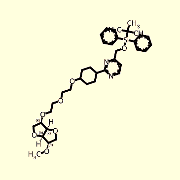 CO[C@@H]1CO[C@H]2[C@@H]1OC[C@H]2OCCOCCOC1CCC(c2nccc(CO[Si](c3ccccc3)(c3ccccc3)C(C)(C)C)n2)CC1